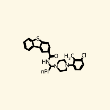 CCCC(NC(=O)c1ccc2sc3ccccc3c2c1)N1CCN(c2cccc(Cl)c2C)CC1